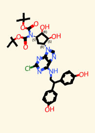 CC(C)(C)OC(=O)N(C(=O)OC(C)(C)C)[C@H]1C[C@@H](n2cnc3c(NCC(c4ccc(O)cc4)c4ccc(O)cc4)nc(Cl)nc32)[C@H](O)[C@@H]1O